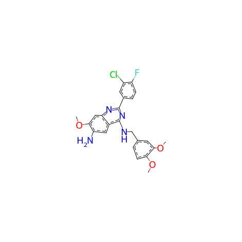 COc1cc2nc(-c3ccc(F)c(Cl)c3)nc(NCc3ccc(OC)c(OC)c3)c2cc1N